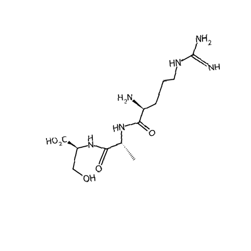 C[C@@H](NC(=O)[C@@H](N)CCCNC(=N)N)C(=O)N[C@@H](CO)C(=O)O